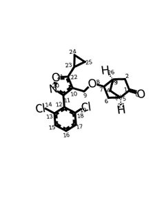 O=C1C[C@H]2C[C@@H]1CC2OCc1c(-c2c(Cl)cccc2Cl)noc1C1CC1